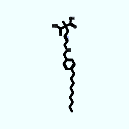 CCCCCCCCCc1ccc(CNC/C=C/CC(C)(C(=O)O)C(=O)O)cc1